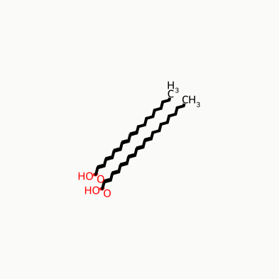 CCCCCCCCCC=CC=CC=CC=CC=CC(=O)O.CCCCCCCCCC=CC=CC=CC=CC=CC=CC(=O)O